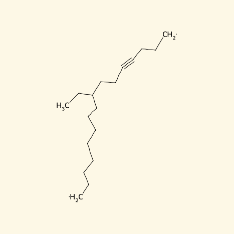 [CH2]CCC#CCCC(CC)CCCCCCC[CH2]